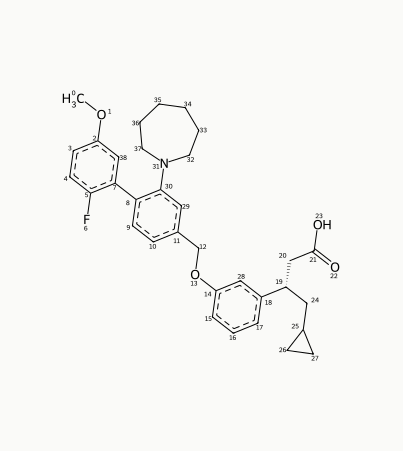 COc1ccc(F)c(-c2ccc(COc3cccc([C@H](CC(=O)O)CC4CC4)c3)cc2N2CCCCCC2)c1